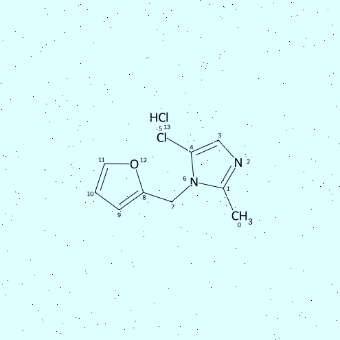 Cc1ncc(Cl)n1Cc1ccco1.Cl